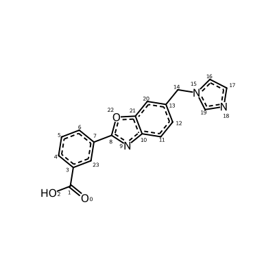 O=C(O)c1cccc(-c2nc3ccc(Cn4ccnc4)cc3o2)c1